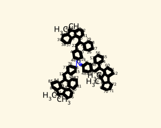 CC1(C)c2ccccc2-c2c(/C(=C/c3ccc(N(c4ccc(/C=C(\c5ccccc5)c5cccc6c5-c5ccccc5C6(C)C)cc4)c4ccc(/C=C(\c5ccccc5)c5cccc6c5C(C)(C)C5C=CC=CC65)cc4)cc3)c3ccccc3)cccc21